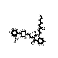 CCCCCC(=O)/C=C/n1c(=O)n(CCN2CCN(c3ccccc3OC)CC2)c(=O)c2ccccc21